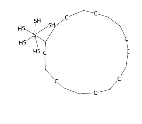 SS(S)(S)(S)(S)C1CCCCCCCCCCCCCCCCC1